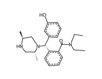 CCN(CC)C(=O)c1ccccc1[C@@H](c1cccc(O)c1)N1C[C@H](C)NC[C@H]1C